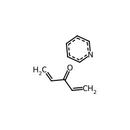 C=CC(=O)C=C.c1ccncc1